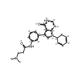 CN(C)CCC(=O)Nc1cccc(-c2cn(C3C=CC=CC3)c3nc[nH]c(=O)c23)c1